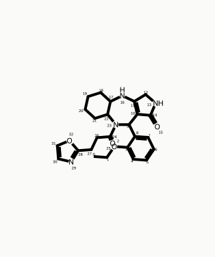 CCOc1ccccc1C1C2=C(CNC2=O)NC2CCCCC2N1C(=O)CCc1ncco1